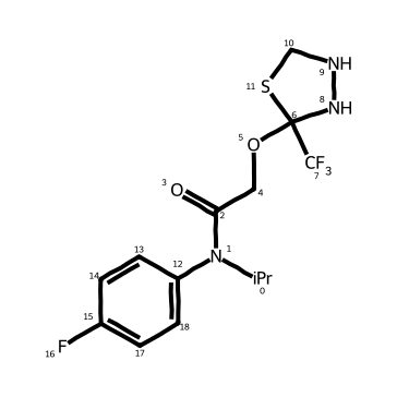 CC(C)N(C(=O)COC1(C(F)(F)F)NNCS1)c1ccc(F)cc1